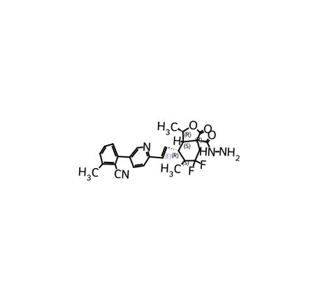 Cc1cccc(-c2ccc(/C=C/[C@@H]3[C@@H]4[C@@H](C)OC(=O)[C@]4(C(=O)NN)CC(F)(F)[C@H]3C)nc2)c1C#N